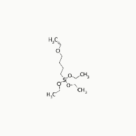 C=COCCCC[Si](OCC)(OCC)OCC